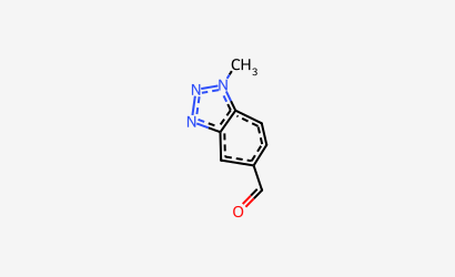 Cn1nnc2cc(C=O)ccc21